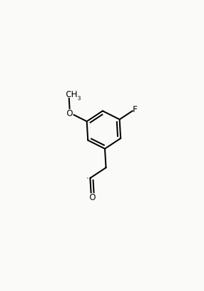 COc1cc(F)cc(C[C]=O)c1